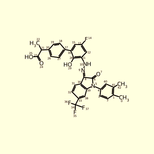 Cc1ccc(N2C(=O)C(=NNc3cc(F)cc(-c4ccc(C(C)C(=O)O)cc4)c3O)c3ccc(C(F)(F)F)cc32)cc1C